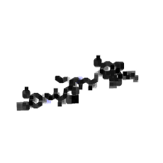 C=CC[C@H](/C=C(\C)C[C@H](C)CC[C@H]1O[C@@](O)(C(=O)C(N)=O)[C@H](C)C[C@@H]1OC)C(=O)C[C@H](O)[C@@H](C)[C@H](C)/C=C/[C@@H]1CC[C@@H](O)[C@H](OC)C1